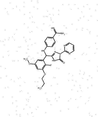 CCCOc1cc(OC)cc(C(Nc2ccc(C(=N)N)cc2)c2nn(-c3ncccn3)c(=O)[nH]2)c1F